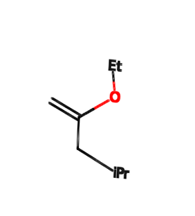 C=C(CC(C)C)OCC